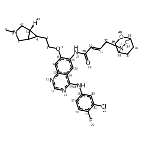 CN1CC2C(CCOc3cc4ncnc(Nc5ccc(F)c(Cl)c5)c4cc3NC(=O)/C=C/CN3CC4CCC3CO4)[C@H]2C1